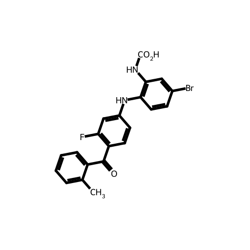 Cc1ccccc1C(=O)c1ccc(Nc2ccc(Br)cc2NC(=O)O)cc1F